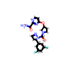 NC(=O)c1nccc(OC2CCN(C(=O)N3N=CCC3c3cc(F)cc(F)c3)C2)n1